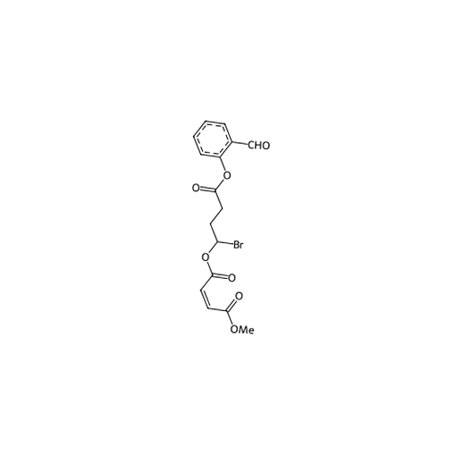 COC(=O)/C=C\C(=O)OC(Br)CCC(=O)Oc1ccccc1C=O